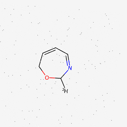 [2H]C1N=CC=CCO1